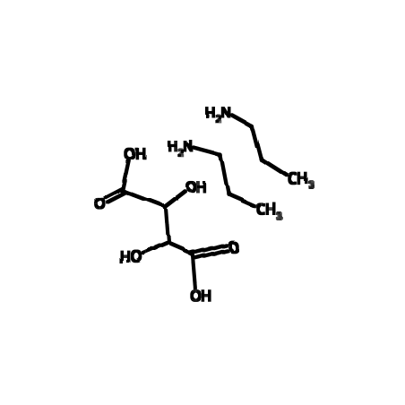 CCCN.CCCN.O=C(O)C(O)C(O)C(=O)O